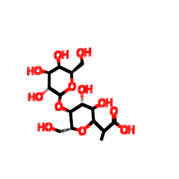 CC(C(=O)O)C1O[C@H](CO)[C@@H](OC2O[C@H](CO)[C@H](O)[C@H](O)[C@H]2O)[C@H](O)[C@H]1O